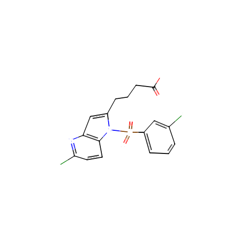 O=C(O)CCCc1cc2nc(Cl)ccc2n1S(=O)(=O)c1cccc(F)c1